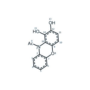 CC(=O)N1c2ccccc2Oc2ccc(O)c(O)c21